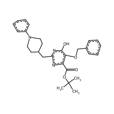 CC(C)(C)OC(=O)c1nc(CC2CCN(c3ccccc3)CC2)nc(O)c1OCc1ccccc1